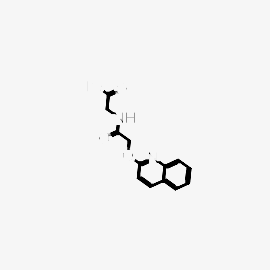 O=C(O)CNC(=O)COc1ccc2ccccc2n1